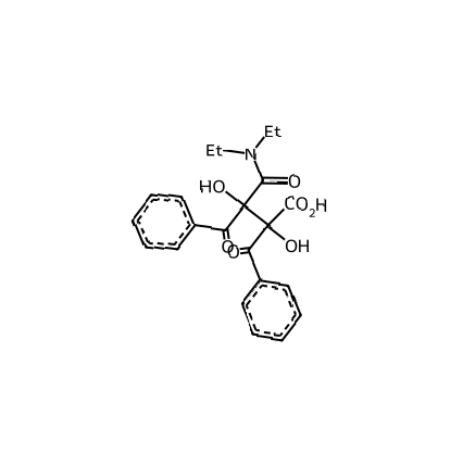 CCN(CC)C(=O)C(O)(C(=O)c1ccccc1)C(O)(C(=O)O)C(=O)c1ccccc1